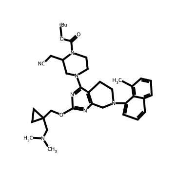 Cc1cccc2cccc(N3CCc4c(nc(OCC5(CN(C)C)CC5)nc4N4CCN(C(=O)OC(C)(C)C)C(CC#N)C4)C3)c12